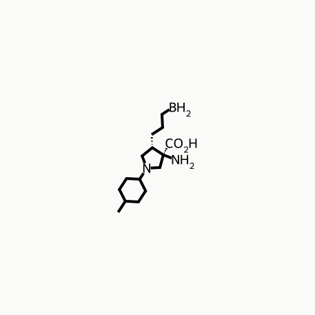 BCCC[C@H]1CN(C2CCC(C)CC2)C[C@@]1(N)C(=O)O